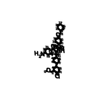 COCc1cc(-c2ccc(C(F)(F)[C@@H](NS(=O)(=O)c3ccc(OCC4CCCCC4)cc3)C(=O)N3CCC(N)CC3)cc2)ccc1Cl